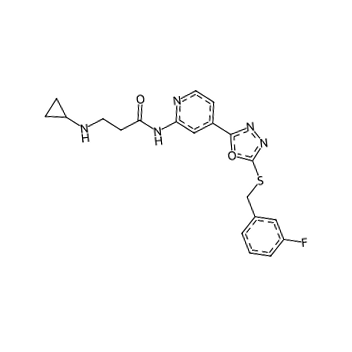 O=C(CCNC1CC1)Nc1cc(-c2nnc(SCc3cccc(F)c3)o2)ccn1